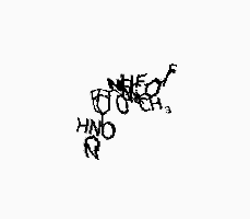 CC(C)(CNC(=O)C(N)C1C2CC3CC1CC(C(=O)Nc1ccncc1)(C3)C2)c1ccc(F)cc1F